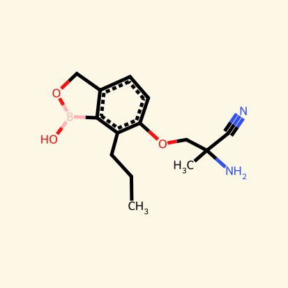 CCCc1c(OCC(C)(N)C#N)ccc2c1B(O)OC2